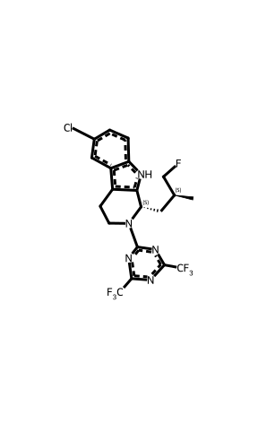 C[C@H](CF)C[C@H]1c2[nH]c3ccc(Cl)cc3c2CCN1c1nc(C(F)(F)F)nc(C(F)(F)F)n1